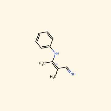 C/C(C=N)=C(\C)Nc1ccccc1